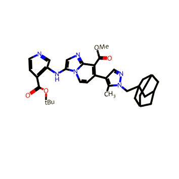 COC(=O)c1c(-c2cnn(CC34CC5CC(CC(C5)C3)C4)c2C)ccn2c(Nc3cnccc3C(=O)OC(C)(C)C)cnc12